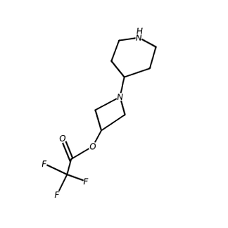 O=C(OC1CN(C2CCNCC2)C1)C(F)(F)F